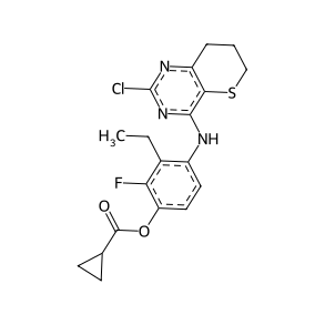 CCc1c(Nc2nc(Cl)nc3c2SCCC3)ccc(OC(=O)C2CC2)c1F